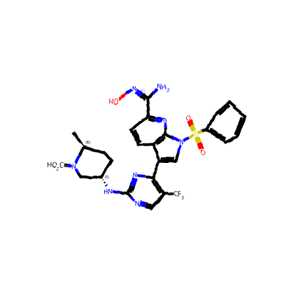 C[C@H]1CC[C@H](Nc2ncc(C(F)(F)F)c(-c3cn(S(=O)(=O)c4ccccc4)c4nc(/C(N)=N\O)ccc34)n2)CN1C(=O)O